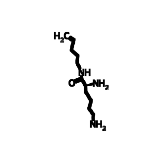 C=CCCCNC(=O)[C@@H](N)CCCCN